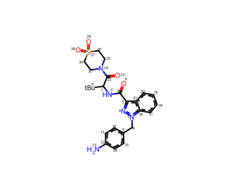 CC(C)(C)C(NC(=O)c1nn(Cc2ccc(N)cc2)c2ccccc12)C(=O)N1CCS(=O)(=O)CC1